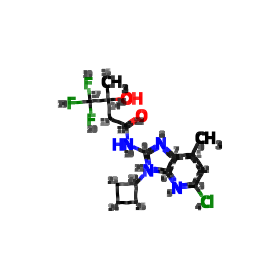 Cc1cc(Cl)nc2c1nc(NC(=O)CC(C)(O)C(F)(F)F)n2C1CCC1